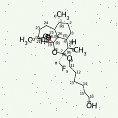 C[C@@H]1CC[C@H]2[C@@H](C)[C@@](CF)(OCCCCCCO)O[C@@H]3O[C@]4(C)CCC1[C@]32OO4